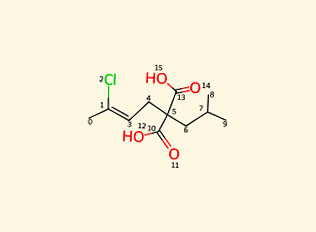 CC(Cl)=CCC(CC(C)C)(C(=O)O)C(=O)O